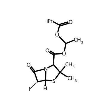 CC(OC(=O)C(C)C)OC(=O)[C@@H]1N2C(=O)[C@@H](I)[C@H]2SC1(C)C